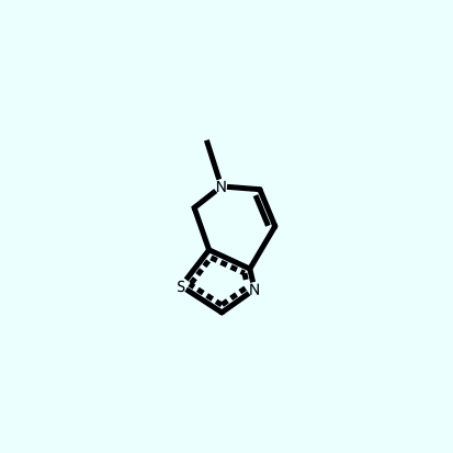 CN1C=Cc2ncsc2C1